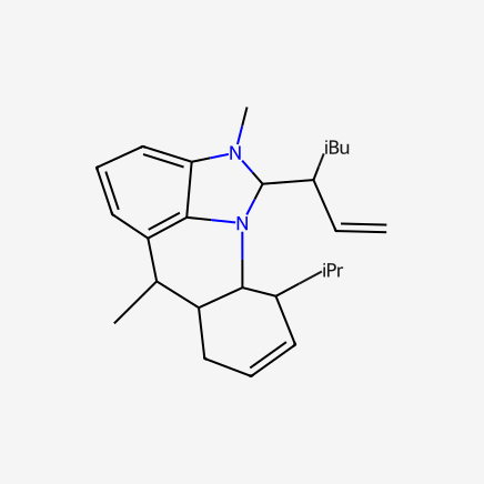 C=CC(C(C)CC)C1N(C)c2cccc3c2N1C1C(C(C)C)C=CCC1C3C